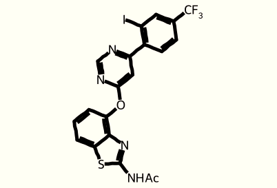 CC(=O)Nc1nc2c(Oc3cc(-c4ccc(C(F)(F)F)cc4I)ncn3)cccc2s1